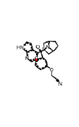 N#CCOc1cccc(C(=O)N2C3CCC2CN(c2ncnc4[nH]ccc24)C3)c1